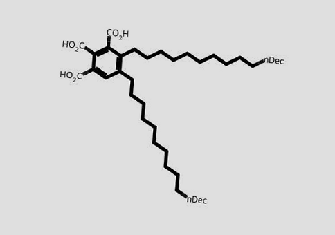 CCCCCCCCCCCCCCCCCCCCc1cc(C(=O)O)c(C(=O)O)c(C(=O)O)c1CCCCCCCCCCCCCCCCCCCC